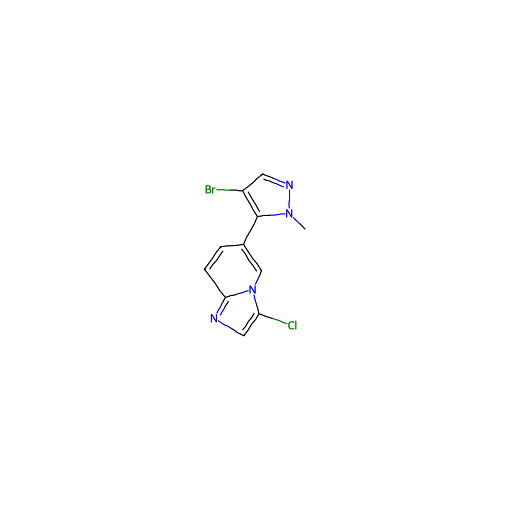 Cn1ncc(Br)c1-c1ccc2ncc(Cl)n2c1